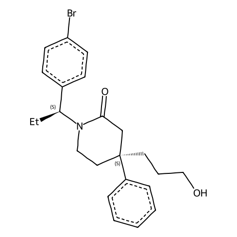 CC[C@@H](c1ccc(Br)cc1)N1CC[C@](CCCO)(c2ccccc2)CC1=O